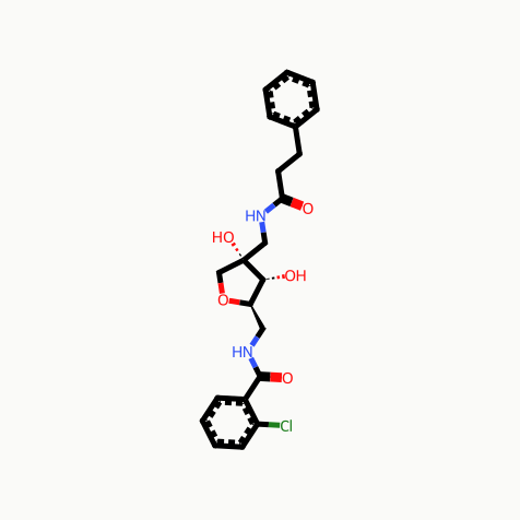 O=C(CCc1ccccc1)NC[C@]1(O)CO[C@H](CNC(=O)c2ccccc2Cl)[C@H]1O